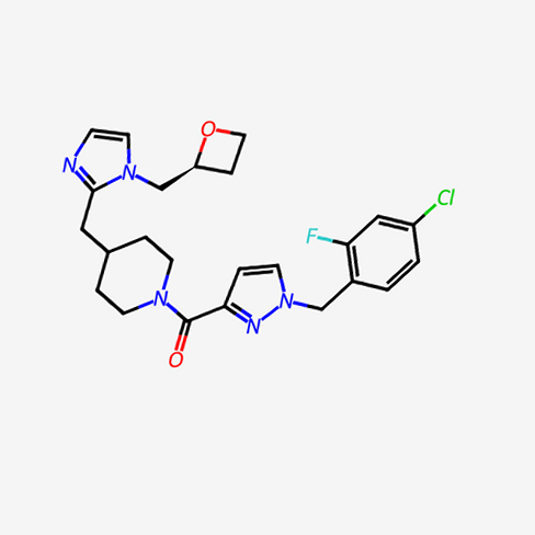 O=C(c1ccn(Cc2ccc(Cl)cc2F)n1)N1CCC(Cc2nccn2C[C@@H]2CCO2)CC1